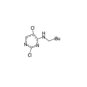 CCC(C)CNc1nc(Cl)ncc1Cl